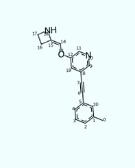 Cc1cccc(C#Cc2cncc(O/C=C3\CCN3)c2)c1